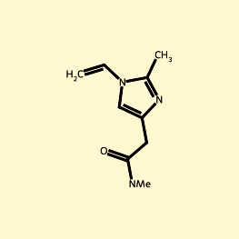 C=Cn1cc(CC(=O)NC)nc1C